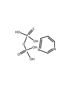 O=P(O)(O)OP(O)(O)=S.c1cncnc1